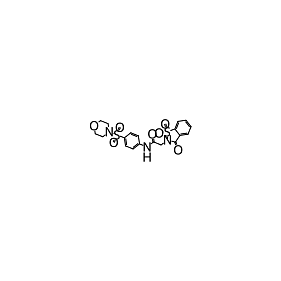 O=C(CN1C(=O)c2ccccc2S1(=O)=O)Nc1ccc(S(=O)(=O)N2CCOCC2)cc1